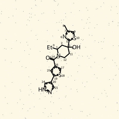 CCC1CC(O)(c2nc(C)cs2)CCN1C(=O)c1csc(-c2cn[nH]c2)c1